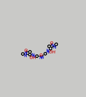 O=c1c2cccc3c(N=Nc4ccc(-c5nnc(-c6ccc(N=Nc7c(O)cc8c9c7cccc9c(=O)n7c9ccccc9nc87)cc6)o5)cc4)c(O)cc(c32)c2nc3ccccc3n12